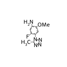 COc1cc(-n2nnnc2C)c(F)cc1N